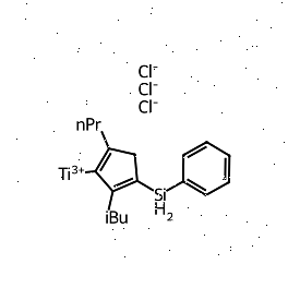 CCCC1=[C]([Ti+3])C(C(C)CC)=C([SiH2]c2ccccc2)C1.[Cl-].[Cl-].[Cl-]